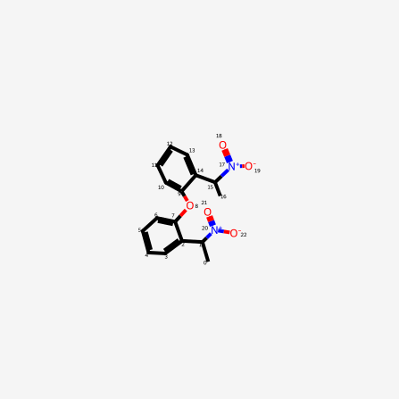 CC(c1ccccc1Oc1ccccc1C(C)[N+](=O)[O-])[N+](=O)[O-]